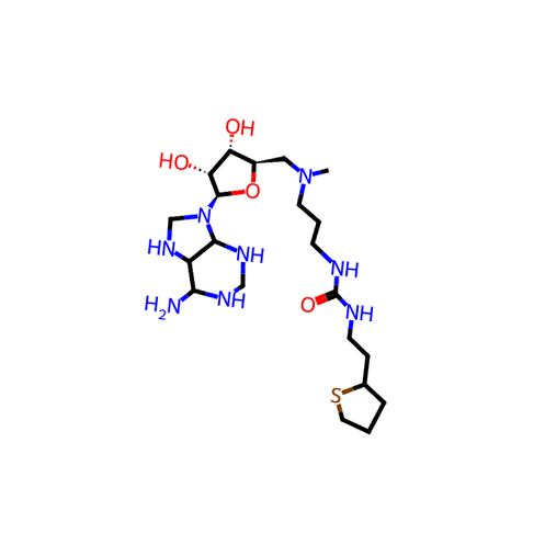 CN(CCCNC(=O)NCCC1CCCS1)C[C@H]1O[C@@H](N2CNC3C(N)NCNC32)[C@H](O)[C@@H]1O